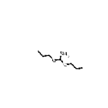 CCCOC([SiH3])OCCC